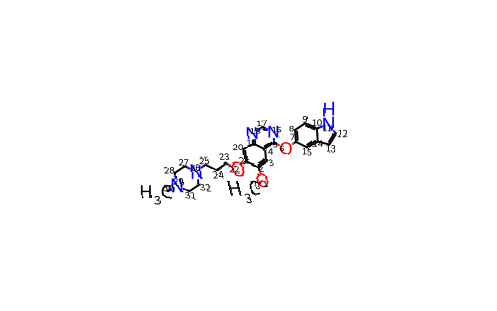 COc1cc2c(Oc3ccc4[nH]ccc4c3)ncnc2cc1OCCCN1CCN(C)CC1